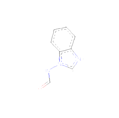 O=CNn1cnc2ccccc21